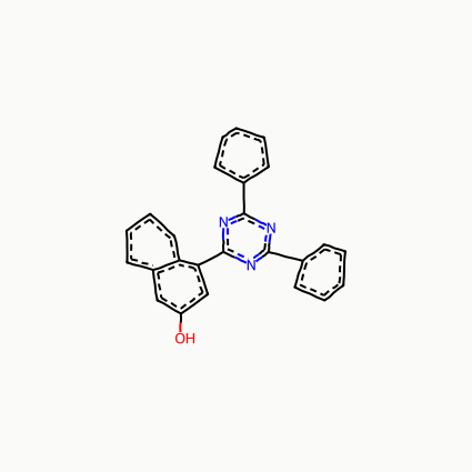 Oc1cc(-c2nc(-c3ccccc3)nc(-c3ccccc3)n2)c2ccccc2c1